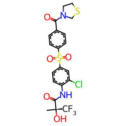 C[C@@](O)(C(=O)Nc1ccc(S(=O)(=O)c2ccc(C(=O)N3CCSC3)cc2)cc1Cl)C(F)(F)F